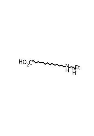 CCNCCNCCCCCCCCCCCCCCC(=O)O